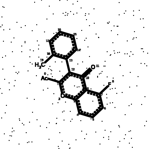 CC(=O)c1oc2cccc(F)c2c(=O)c1-c1ccccc1C